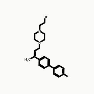 C/C(=C/CN1CCN(CCO)CC1)c1ccc(-c2ccc(F)cc2)cc1